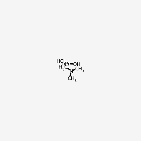 CN(C)C.Cl.[CH2]CCO